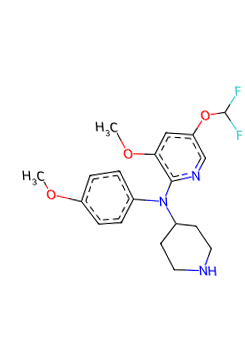 COc1ccc(N(c2ncc(OC(F)F)cc2OC)C2CCNCC2)cc1